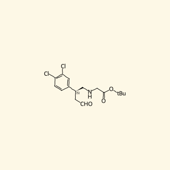 CC(C)(C)OC(=O)CNC[C@@H](CC=O)c1ccc(Cl)c(Cl)c1